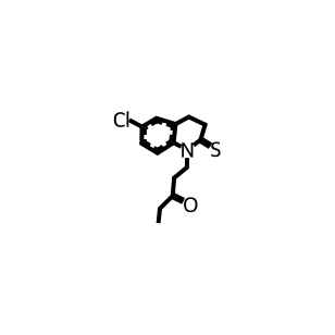 CCC(=O)CCN1C(=S)CCc2cc(Cl)ccc21